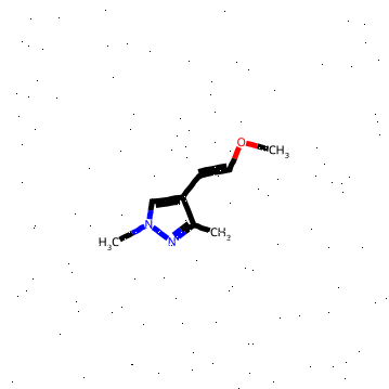 COC=Cc1cn(C)nc1C